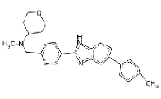 Cc1ccc(-c2ccc3[nH]c(-c4ccc(CN(C)C5CCOCC5)cc4)nc3c2)cc1